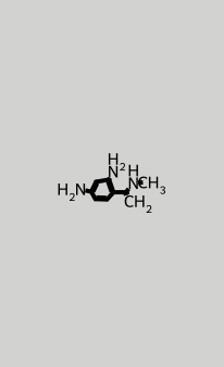 C=C(NC)c1ccc(N)cc1N